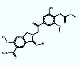 CCNC(=O)Oc1c(OCC)cc(C(=O)CN2Cc3cc(OCC)c(C(=O)NC)cc3/C2=N/Br)cc1C(C)(C)C